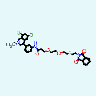 CN1Cc2c(Cl)cc(Cl)cc2C(c2cccc(NC(=O)CCOCCOCCOCCN3C(=O)c4ccccc4C3=O)c2)C1